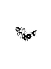 N#C[C@@H]1CSCN1C(=O)CNC(=O)c1ccnc2ccc(OC(CF)CF)cc12